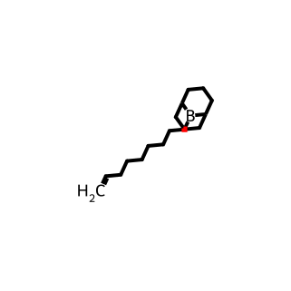 C=CCCCCCCCB1C2CCCC1CCC2